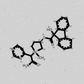 C[N+]1(C(C(N)=O)c2ccncn2)CC[C@@H](OC(=O)C2(O)c3ccccc3-c3ccccc32)C1